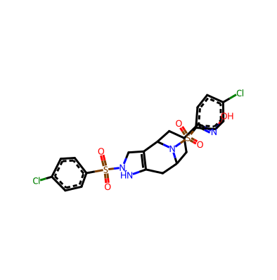 O=S(=O)(c1ccc(Cl)cc1)N1CC2=C(CC3CC(C=NO)CC2N3S(=O)(=O)c2ccc(Cl)cc2)N1